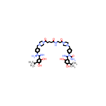 CC(C)c1cc(C(=N)N(N)c2ccc(CN3CCN(C(=O)CCCC(=O)NCCC(=O)N4CCN(Cc5ccc(N(C(=N)c6cc(C(C)C)c(O)cc6O)C(N)=O)cc5)CC4)CC3)cc2)c(O)cc1O